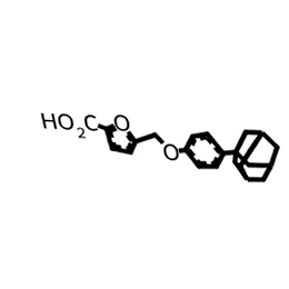 O=C(O)c1ccc(COc2ccc(C34CC5CC(CC(C5)C3)C4)cc2)o1